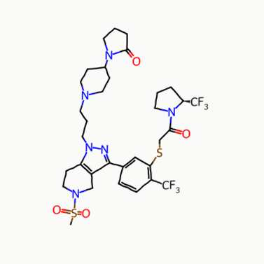 CS(=O)(=O)N1CCc2c(c(-c3ccc(C(F)(F)F)c(SCC(=O)N4CCC[C@H]4C(F)(F)F)c3)nn2CCCN2CCC(N3CCCC3=O)CC2)C1